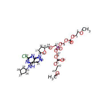 COCCOC(=O)OCOP(=O)(COC[C@@H]1CC[C@H](n2ncc3c(NC4CCCC4)nc(Cl)nc32)O1)OCOC(=O)OCCOC